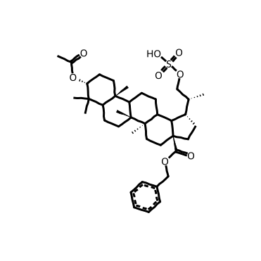 CC(=O)O[C@@H]1CC[C@@]2(C)C(CC[C@]3(C)C2CCC2C4[C@H]([C@@H](C)COS(=O)(=O)O)CC[C@]4(C(=O)OCc4ccccc4)CC[C@]23C)C1(C)C